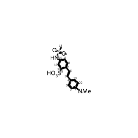 CNc1ccc(C=Cc2ccc(NS(C)(=O)=O)cc2S(=O)(=O)O)cc1